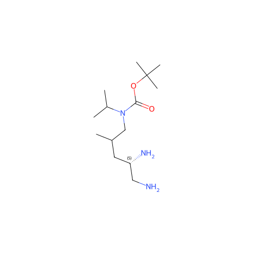 CC(C[C@H](N)CN)CN(C(=O)OC(C)(C)C)C(C)C